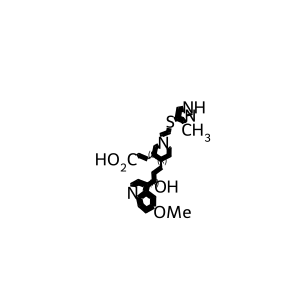 COc1ccc2nccc([C@H](O)CC[C@@H]3CCN(CCSc4c[nH]nc4C)C[C@H]3CCC(=O)O)c2c1